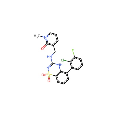 Cn1cccc(CNC2=NS(=O)(=O)c3cccc(-c4cccc(F)c4Cl)c3N2)c1=O